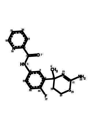 CC1(c2cc(NC(=O)c3ccccn3)ccc2F)CCSC(N)=N1